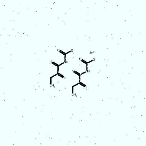 CCC(=S)C(=S)NC(=O)[O-].CCC(=S)C(=S)NC(=O)[O-].[Zn+2]